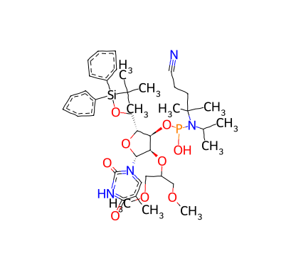 COCC(COC)O[C@@H]1[C@H](OP(O)N(C(C)C)C(C)(C)CCC#N)[C@@H](CO[Si](c2ccccc2)(c2ccccc2)C(C)(C)C)O[C@H]1n1cc(C)c(=O)[nH]c1=O